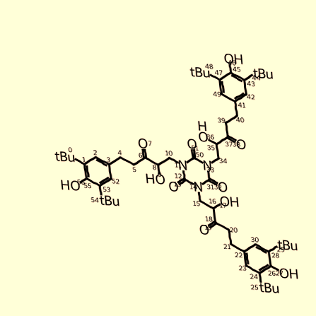 CC(C)(C)c1cc(CCC(=O)C(O)Cn2c(=O)n(CC(O)C(=O)CCc3cc(C(C)(C)C)c(O)c(C(C)(C)C)c3)c(=O)n(CC(O)C(=O)CCc3cc(C(C)(C)C)c(O)c(C(C)(C)C)c3)c2=O)cc(C(C)(C)C)c1O